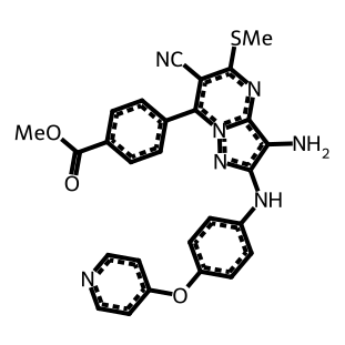 COC(=O)c1ccc(-c2c(C#N)c(SC)nc3c(N)c(Nc4ccc(Oc5ccncc5)cc4)nn23)cc1